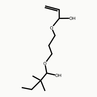 C=CC(O)OCCCOC(O)C(C)(C)CC